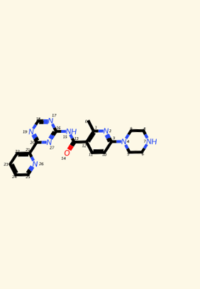 Cc1nc(N2CCNCC2)ccc1C(=O)Nc1ncnc(-c2ccccn2)n1